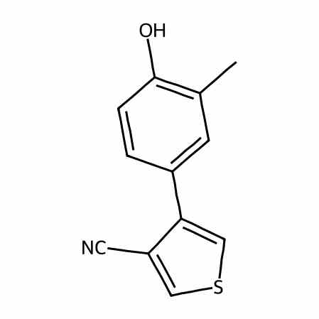 Cc1cc(-c2cscc2C#N)ccc1O